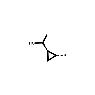 CC(O)[C@@H]1C[C@H]1C